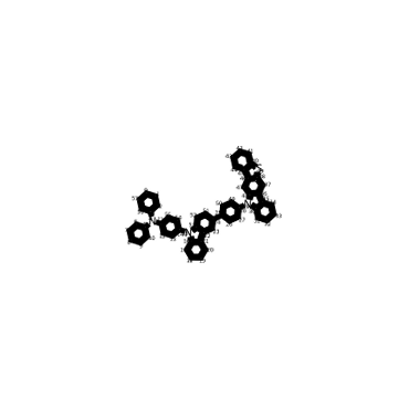 c1ccc(N(c2ccccc2)c2ccc(-n3c4ccccc4c4cc(-c5ccc(-n6c7ccccc7c7cc8sc9ccccc9c8cc76)cc5)ccc43)cc2)cc1